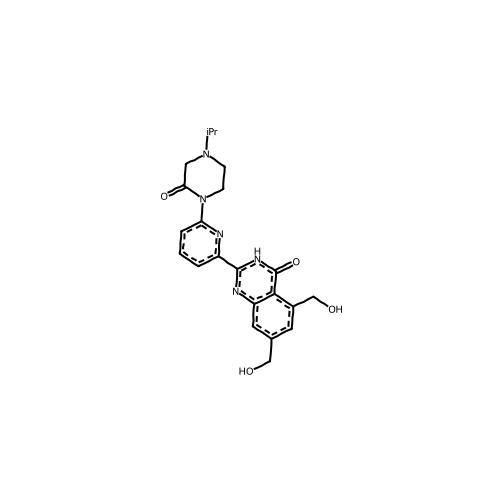 CC(C)N1CCN(c2cccc(-c3nc4cc(CO)cc(CO)c4c(=O)[nH]3)n2)C(=O)C1